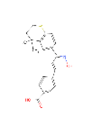 CC1(C)CCSc2ccc(C(/C=C/c3ccc(C(=O)O)cc3)=NO)cc21